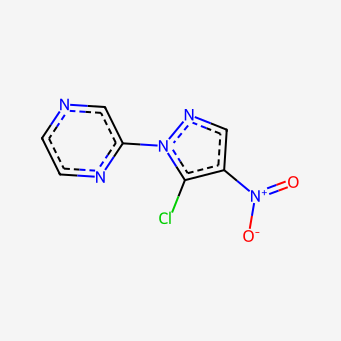 O=[N+]([O-])c1cnn(-c2cnccn2)c1Cl